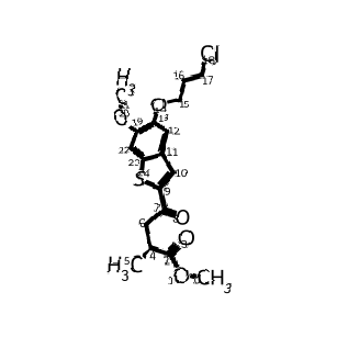 COC(=O)[C@@H](C)CC(=O)c1cc2cc(OCCCCl)c(OC)cc2s1